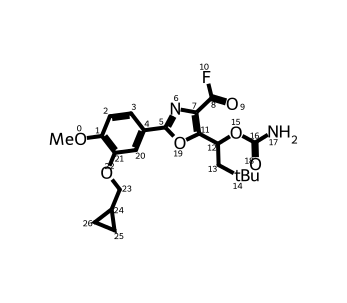 COc1ccc(-c2nc(C(=O)F)c(C(CC(C)(C)C)OC(N)=O)o2)cc1OCC1CC1